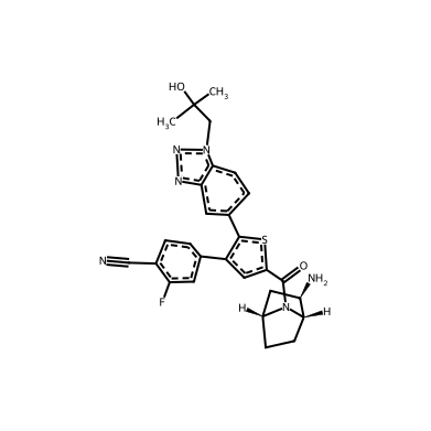 CC(C)(O)Cn1nnc2cc(-c3sc(C(=O)N4[C@@H]5CC[C@H]4[C@H](N)C5)cc3-c3ccc(C#N)c(F)c3)ccc21